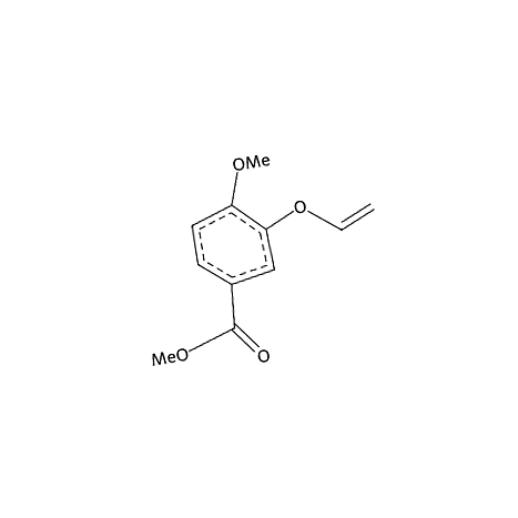 C=COc1cc(C(=O)OC)ccc1OC